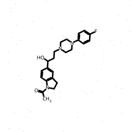 CC(=O)N1CCc2cc(C(O)CCN3CCN(c4ccc(F)cc4)CC3)ccc21